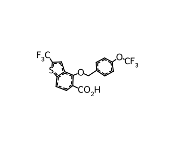 O=C(O)c1ccc2sc(C(F)(F)F)cc2c1OCc1ccc(OC(F)(F)F)cc1